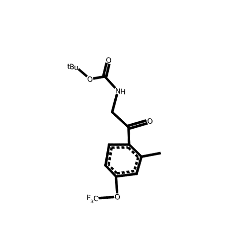 Cc1cc(OC(F)(F)F)ccc1C(=O)CNC(=O)OC(C)(C)C